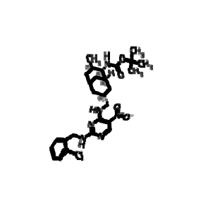 C[C@@H]1CC2C[C@@H](CNc3nc(NCc4ccccc4Cl)ncc3[N+](=O)[O-])C[C@@H](C2)[C@H]1NC(=O)OC(C)(C)C